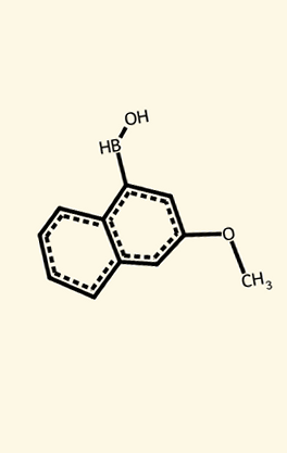 COc1cc(BO)c2ccccc2c1